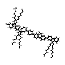 CCCCCCCCC1(CCCCCCCC)c2ccccc2-c2ccc(-c3ccc4c(c3)C(C)(C)c3cc(-c5ccc(-c6ccc7c(c6)C(CCCCCCCC)(CCCCCCCC)c6cc8c(cc6-7)C(CCCCCCCC)(CCCCCCCC)c6cc(Cl)ccc6-8)cc5)ccc3-4)cc21